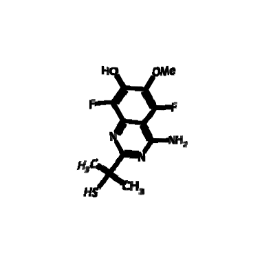 COc1c(O)c(F)c2nc(C(C)(C)S)nc(N)c2c1F